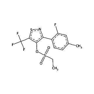 CCS(=O)(=O)Oc1c(-c2ccc(C)cc2F)nsc1C(F)(F)F